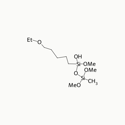 CCOCCCCC[Si](O)(OC)O[Si](C)(OC)OC